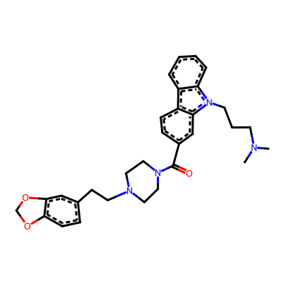 CN(C)CCCn1c2ccccc2c2ccc(C(=O)N3CCN(CCc4ccc5c(c4)OCO5)CC3)cc21